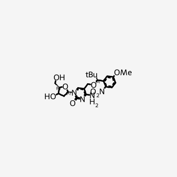 COc1ccc([N+](=O)[O-])c([C@@H](OCc2cn([C@H]3CC(O)[C@@H](CO)O3)c(=O)nc2N)C(C)(C)C)c1